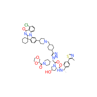 Cc1ncsc1-c1ccc([C@H](C)NC(=O)[C@@H]2C[C@@H](O)CN2C(=O)[C@H](C2CCN(C(=O)[C@@H]3COCCO3)CC2)n2cc(C3CCC(CN4CCC(c5ccc6c(c5)-n5c(nc(=O)c7c(Cl)cccc75)C65CCCCC5)CC4)CC3)nn2)cc1